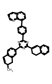 CC1C=Cc2ccc(-c3nc(C4=Cc5ccccc5CC4)nc(-c4ccc(-c5cccc6cccnc56)cc4)n3)cc2C1